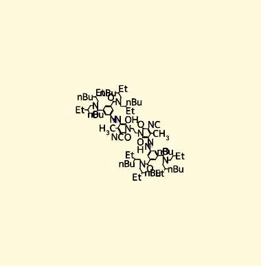 [C-]#[N+]c1c(C)c(/N=N/c2cc(C(=O)N(CC(CC)CCCC)CC(CC)CCCC)cc(C(=O)N(CC(CC)CCCC)CC(CC)CCCC)c2)c(O)n(CCn2c(O)c(/N=N/c3cc(C(=O)N(CC(CC)CCCC)CC(CC)CCCC)cc(C(=O)N(CC(CC)CCCC)CC(CC)CCCC)c3)c(C)c(C#N)c2=O)c1=O